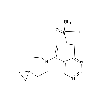 NS(=O)(=O)c1cc(N2CCC3(CC2)CC3)c2cncnc2c1